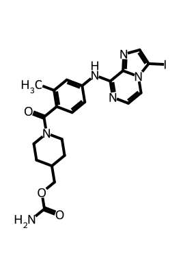 Cc1cc(Nc2nccn3c(I)cnc23)ccc1C(=O)N1CCC(COC(N)=O)CC1